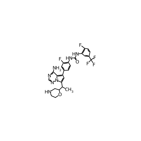 CC(c1cc(-c2ccc(NC(=O)Nc3cc(C(F)(F)F)ccc3F)c(F)c2)c2c(N)ncnn12)C1CNCCO1